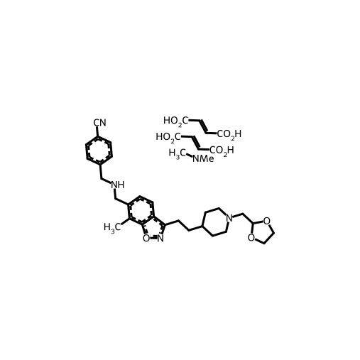 CNC.Cc1c(CNCc2ccc(C#N)cc2)ccc2c(CCC3CCN(CC4OCCO4)CC3)noc12.O=C(O)C=CC(=O)O.O=C(O)C=CC(=O)O